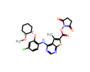 CO[C@H]1CCCC[C@@H]1Oc1cc(F)ccc1Nc1ncnc2sc(C(=O)ON3C(=O)CCC3=O)c(C)c12